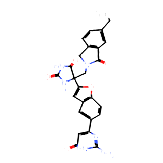 CCc1ccc2c(c1)C(=O)N(CC1(c3cc4cc(-c5cc(=O)[nH]c(N)n5)ccc4o3)NC(=O)NC1=O)C2